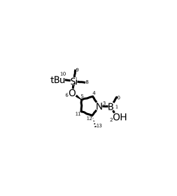 CB(O)N1C[C@H](O[Si](C)(C)C(C)(C)C)C[C@H]1C